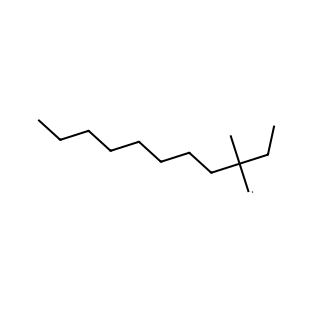 [CH2]C(C)(CC)CCCCCCCC